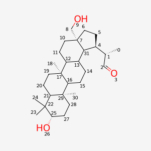 C[C@H](C=O)[C@@H]1CC[C@]2(CO)CCC3C(CCC4[C@@]3(C)CCC3C(C)(C)[C@@H](O)CC[C@@]34C)C12